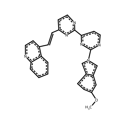 COc1ccc2cn(-c3nccc(-c4nccc(/C=C/c5ccnc6ccccc56)n4)n3)cc2c1